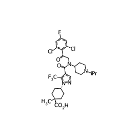 CC(C)N1CCC(N(CC(=O)c2c(Cl)cc(F)cc2Cl)C(=O)c2cnn([C@H]3CC[C@](C)(C(=O)O)CC3)c2C(F)(F)F)CC1